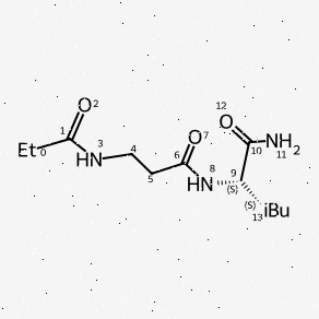 CCC(=O)NCCC(=O)N[C@H](C(N)=O)[C@@H](C)CC